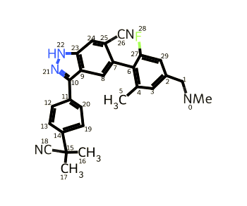 CNCc1cc(C)c(-c2cc3c(-c4ccc(C(C)(C)C#N)cc4)n[nH]c3cc2C#N)c(F)c1